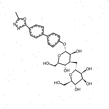 Cc1nnc(-c2ccc(-c3ccc(O[C@H]4O[C@H](CO)[C@@H](O)[C@H](C[C@H]5O[C@H](CO)[C@@H](O)[C@H](O)[C@@H]5O)[C@@H]4O)cc3)cc2)o1